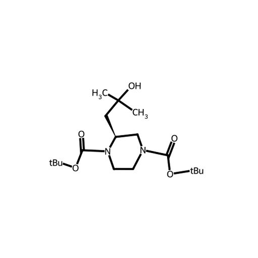 CC(C)(O)C[C@H]1CN(C(=O)OC(C)(C)C)CCN1C(=O)OC(C)(C)C